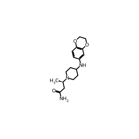 C[C@H](CC(N)=O)N1CCC(Nc2ccc3c(c2)OCCO3)CC1